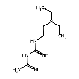 CCN(CC)CCNC(=N)NC(=N)N